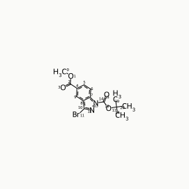 COC(=O)c1ccc2c(c1)c(Br)nn2C(=O)OC(C)(C)C